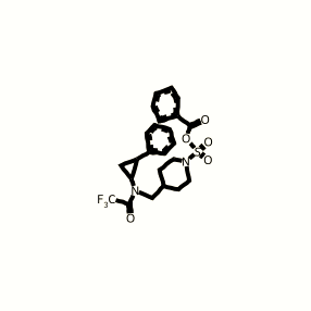 O=C(OS(=O)(=O)N1CCC(CN(C(=O)C(F)(F)F)C2CC2c2ccccc2)CC1)c1ccccc1